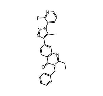 CCc1nc2cc(-c3nnn(-c4cccnc4F)c3C)ccc2c(=O)n1Cc1ccccc1